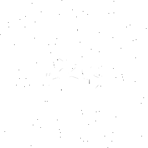 Cc1nc2c(-c3ccc(-c4ccccc4CO)cc3)cccc2[nH]1